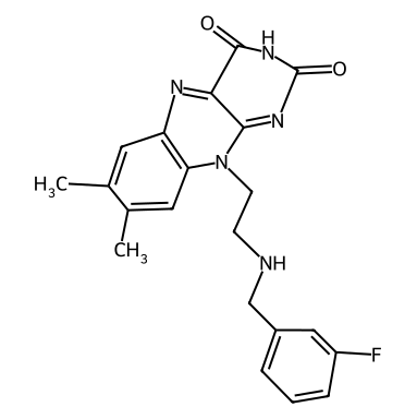 Cc1cc2nc3c(=O)[nH]c(=O)nc-3n(CCNCc3cccc(F)c3)c2cc1C